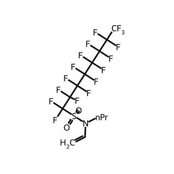 C=CN(CCC)S(=O)(=O)C(F)(F)C(F)(F)C(F)(F)C(F)(F)C(F)(F)C(F)(F)C(F)(F)C(F)(F)F